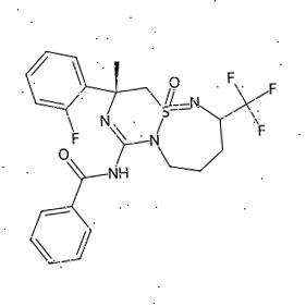 C[C@@]1(c2ccccc2F)CS2(=O)=NC(C(F)(F)F)CCCN2C(NC(=O)c2ccccc2)=N1